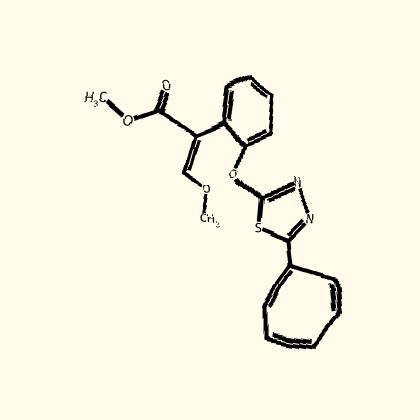 CO/C=C(/C(=O)OC)c1ccccc1Oc1nnc(-c2ccccc2)s1